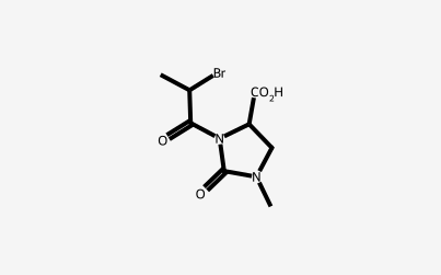 CC(Br)C(=O)N1C(=O)N(C)CC1C(=O)O